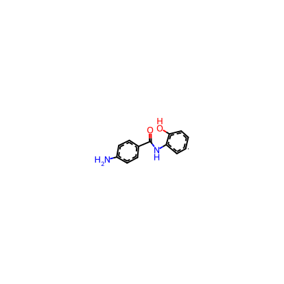 Nc1ccc(C(=O)Nc2c[c]ccc2O)cc1